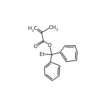 [CH2]CC(OC(=O)C(=C)C)(c1ccccc1)c1ccccc1